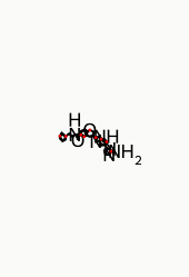 Nc1nccc(-c2ccc3[nH]c(C4COc5ccc(C(=O)NCCc6ccccc6)cc5C4)nc3c2)n1